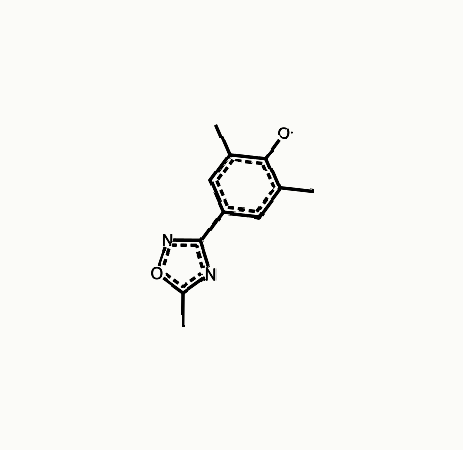 Cc1nc(-c2cc(C)c([O])c(C)c2)no1